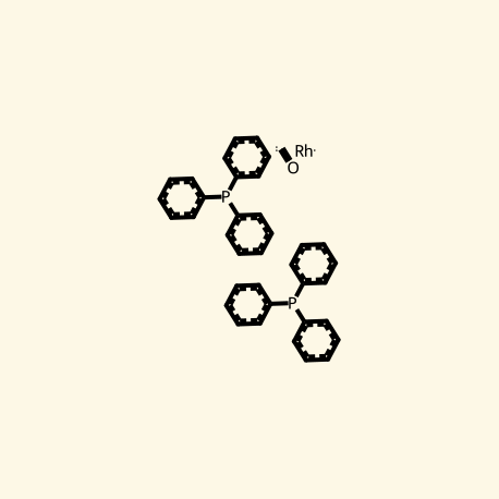 [C]=O.[Rh].c1ccc(P(c2ccccc2)c2ccccc2)cc1.c1ccc(P(c2ccccc2)c2ccccc2)cc1